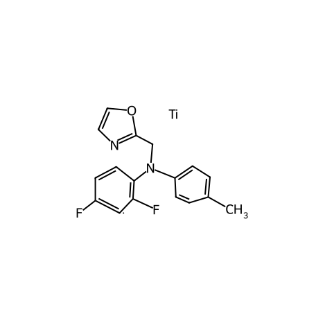 Cc1ccc(N(Cc2ncco2)c2ccc(F)[c]c2F)cc1.[Ti]